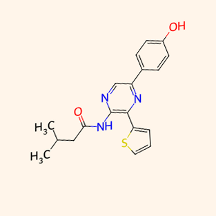 CC(C)CC(=O)Nc1ncc(-c2ccc(O)cc2)nc1-c1cccs1